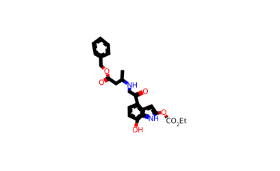 CCOC(=O)Oc1cc2c(C(=O)CNC(C)CC(=O)OCc3ccccc3)ccc(O)c2[nH]1